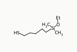 CCO[Si](C)(C)CCCCCS